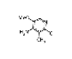 COc1cnc(Cl)c(C)c1N